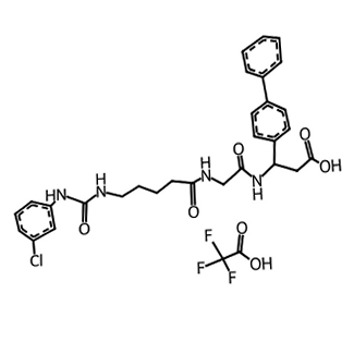 O=C(O)C(F)(F)F.O=C(O)CC(NC(=O)CNC(=O)CCCCNC(=O)Nc1cccc(Cl)c1)c1ccc(-c2ccccc2)cc1